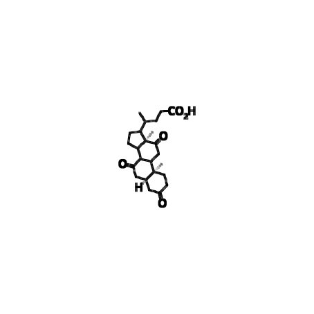 CC(CCC(=O)O)C1CCC2C3C(=O)C[C@@H]4CC(=O)CC[C@]4(C)C3CC(=O)[C@]12C